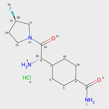 Cl.NC(=O)C1CCC([C@H](N)C(=O)N2CC[C@@H](F)C2)CC1